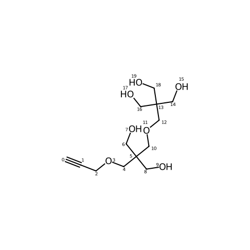 C#CCOCC(CO)(CO)COCC(CO)(CO)CO